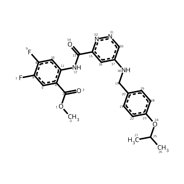 COC(=O)c1cc(F)c(F)cc1NC(=O)c1cc(NCc2ccc(OC(C)C)cc2)cnn1